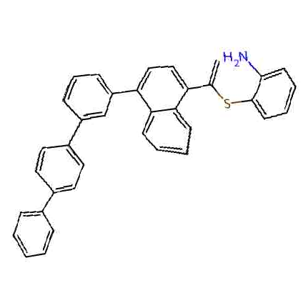 C=C(Sc1ccccc1N)c1ccc(-c2cccc(-c3ccc(-c4ccccc4)cc3)c2)c2ccccc12